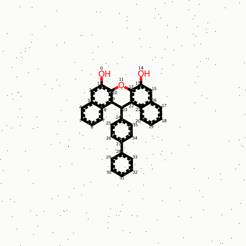 Oc1cc2ccccc2c2c1Oc1c(O)cc3ccccc3c1C2c1ccc(-c2ccccc2)cc1